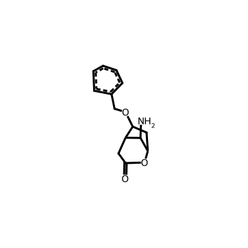 NC1C2CC(OCc3ccccc3)C1CC(=O)O2